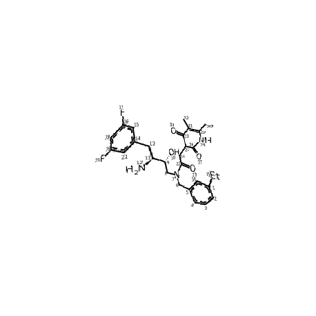 CCc1cccc(CN(C[C@@H](O)[C@@H](N)Cc2cc(F)cc(F)c2)C(=O)CC2C(=O)NC(C)=C(C)C2=O)c1